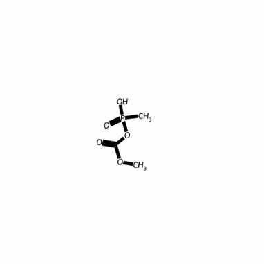 COC(=O)OP(C)(=O)O